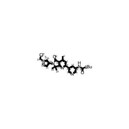 Cc1cc(-c2cncc(NC(=O)C(C)(C)C)c2)nc2c1C(=O)N(c1cnn(CC(F)(F)F)c1)C2(C)C